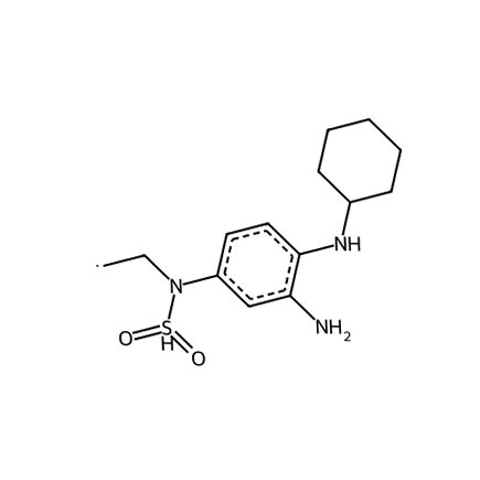 [CH2]CN(c1ccc(NC2CCCCC2)c(N)c1)[SH](=O)=O